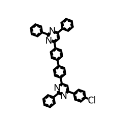 Clc1ccc(-c2cc(-c3ccc(-c4ccc(-c5cc(-c6ccccc6)nc(-c6ccccc6)n5)cc4)cc3)nc(-c3ccccc3)n2)cc1